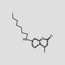 Cc1cc(=O)oc2cc(NCCCCCCI)ccc12